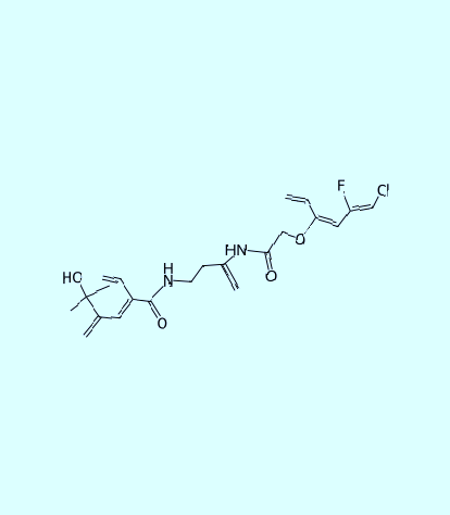 C=C/C(=C\C(F)=C\Cl)OCC(=O)NC(=C)CCNC(=O)/C(C=C)=C/C(=C)C(C)(C)O